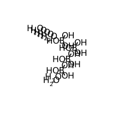 O.O.O.O.O.O.O.OB(O)O.OB(O)O.OB(O)O.OB(O)O